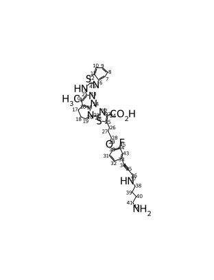 Cc1c(Nc2nc3ccccc3s2)nnc2c1CCCN2c1nc(C(=O)O)c(CCCOc2ccc(C#CCNCCCCN)cc2F)s1